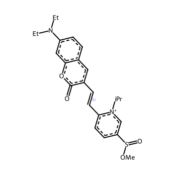 CCN(CC)c1ccc2cc(/C=C/c3ccc(S(=O)OC)c[n+]3C(C)C)c(=O)oc2c1